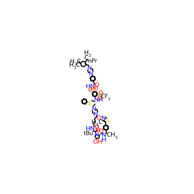 C=C(CCC)C1=C(CN2CCN(c3ccc(C(=O)NS(=O)(=O)c4ccc(N[C@H](CCN5CCN(C(=O)CCCC(=O)N[C@H](C(=O)N6C[C@@H](O)C[C@@H]6C(=O)N[C@H](C)c6ccc(-c7scnc7C)cc6)C(C)(C)C)CC5)CSc5ccccc5)c(S(=O)(=O)C(F)(F)F)c4)cc3)CC2)CCC(C)(C)C1